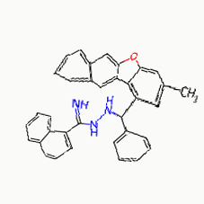 Cc1cc(C(NNC(=N)c2cccc3ccccc23)c2ccccc2)c2c(c1)oc1cc3ccccc3cc12